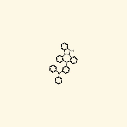 c1ccc(N(c2ccccc2)c2cccc(N3c4ccccc4C4Nc5ccccc5N4c4ccccc43)c2)cc1